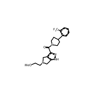 COCCN1Cc2[nH]nc(C(=O)N3CCC(c4ccccc4C(F)(F)F)CC3)c2C1